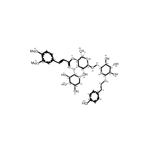 COc1ccc(/C=C/C(=O)O[C@@H]2[C@@H](O[C@@H]3OC[C@@H](O)[C@H](O)[C@H]3O)[C@@H](O)[C@H](OC[C@H]3O[C@@H](OCCc4ccc(O)cc4)[C@H](O)[C@@H](O)[C@@H]3O)O[C@H]2C)cc1OC